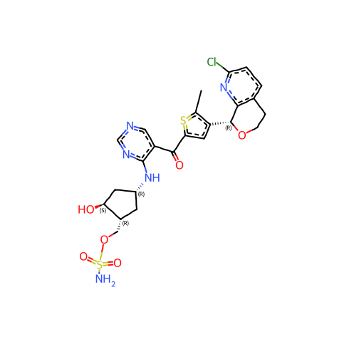 Cc1sc(C(=O)c2cncnc2N[C@@H]2C[C@H](COS(N)(=O)=O)[C@@H](O)C2)cc1[C@H]1OCCc2ccc(Cl)nc21